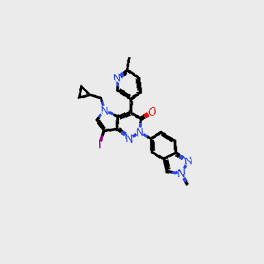 Cc1ccc(-c2c(=O)n(-c3ccc4nn(C)cc4c3)nc3c(I)cn(CC4CC4)c23)cn1